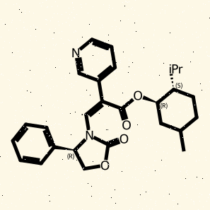 CC1CC[C@@H](C(C)C)[C@H](OC(=O)C(=[C]N2C(=O)OC[C@H]2c2ccccc2)c2cccnc2)C1